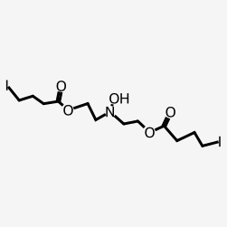 O=C(CCCI)OCCN(O)CCOC(=O)CCCI